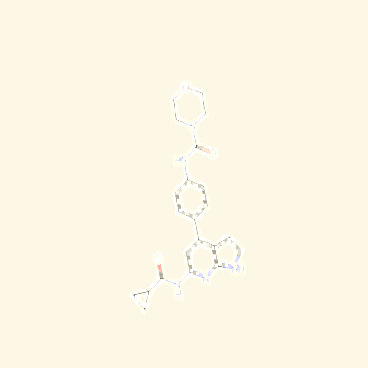 O=C(Nc1cc(-c2ccc(NC(=O)N3CCOCC3)cc2)c2cc[nH]c2n1)C1CC1